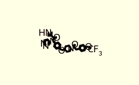 O=C(Cc1ccc(OC(F)(F)F)cc1)N1CCC(Oc2ccc(N(C(=O)C3CNC3)c3ccnnc3)cc2)CC1